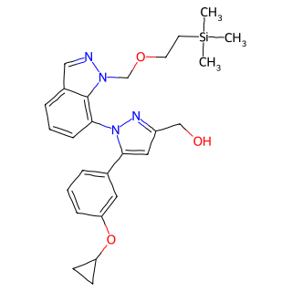 C[Si](C)(C)CCOCn1ncc2cccc(-n3nc(CO)cc3-c3cccc(OC4CC4)c3)c21